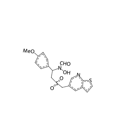 COc1ccc(C(CS(=O)(=O)Cc2cnc3sccc3c2)N(O)C=O)cc1